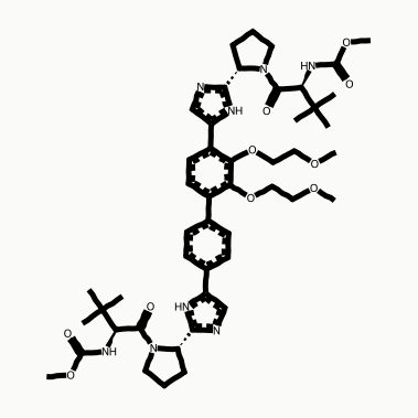 COCCOc1c(-c2ccc(-c3cnc([C@@H]4CCCN4C(=O)[C@@H](NC(=O)OC)C(C)(C)C)[nH]3)cc2)ccc(-c2cnc([C@@H]3CCCN3C(=O)[C@@H](NC(=O)OC)C(C)(C)C)[nH]2)c1OCCOC